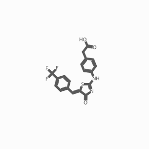 O=C(O)Cc1ccc(NC2=NC(=O)C(=Cc3ccc(C(F)(F)F)cc3)S2)cc1